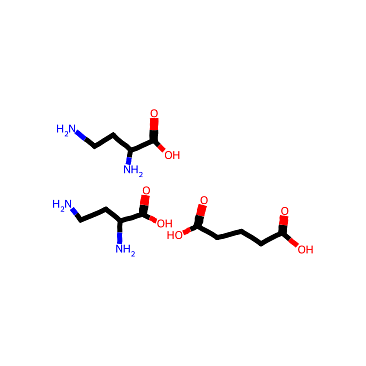 NCCC(N)C(=O)O.NCCC(N)C(=O)O.O=C(O)CCCC(=O)O